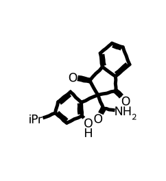 CC(C)c1ccc(C2(C(N)=O)C(=O)c3ccccc3C2=O)c(O)c1